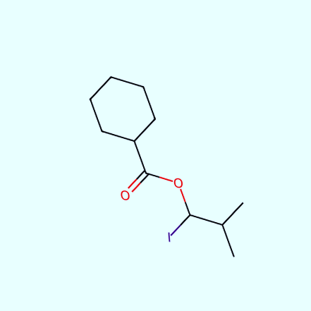 CC(C)C(I)OC(=O)C1CCCCC1